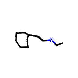 CC[N]CCC1CCCCC1